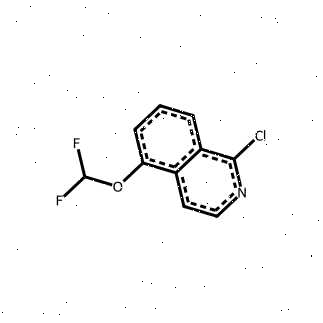 FC(F)Oc1cccc2c(Cl)nccc12